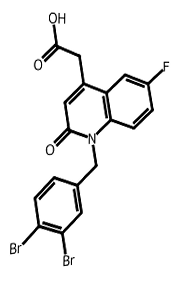 O=C(O)Cc1cc(=O)n(Cc2ccc(Br)c(Br)c2)c2ccc(F)cc12